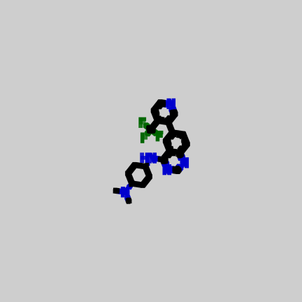 CN(C)[C@H]1CC[C@H](Nc2ncnc3ccc(-c4cnccc4C(F)(F)F)cc23)CC1